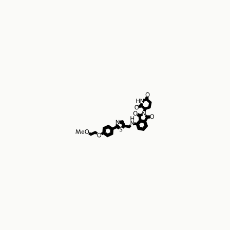 COCCOc1ccc(-c2ncc(CNc3cccc4c3C(=O)N(C3CCC(=O)NC3=O)C4=O)s2)cc1